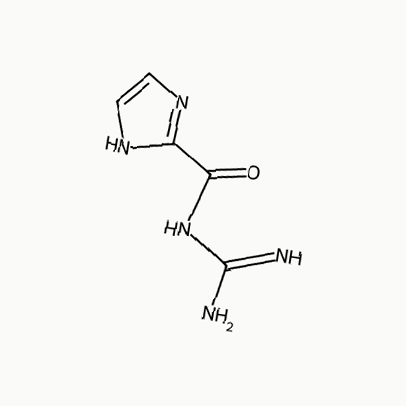 N=C(N)NC(=O)c1ncc[nH]1